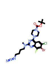 CN(CCCCN=[N+]=[N-])c1nc(N2CCN(C(=O)OC(C)(C)C)CC2)c2cc(Cl)c(Br)c(F)c2n1